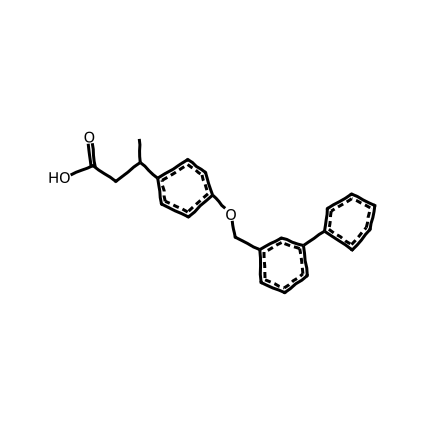 CC(CC(=O)O)c1ccc(OCc2cccc(-c3ccccc3)c2)cc1